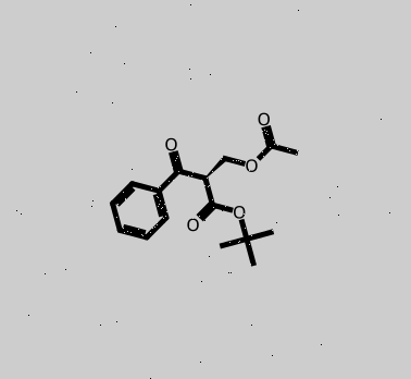 CC(=O)OC[C@@H](C(=O)OC(C)(C)C)C(=O)c1ccccc1